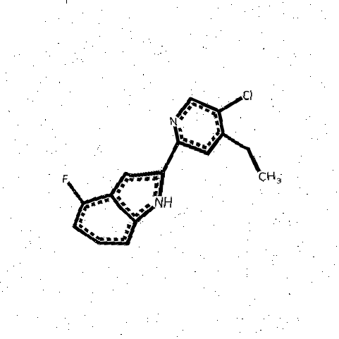 CCc1cc(-c2cc3c(F)cccc3[nH]2)ncc1Cl